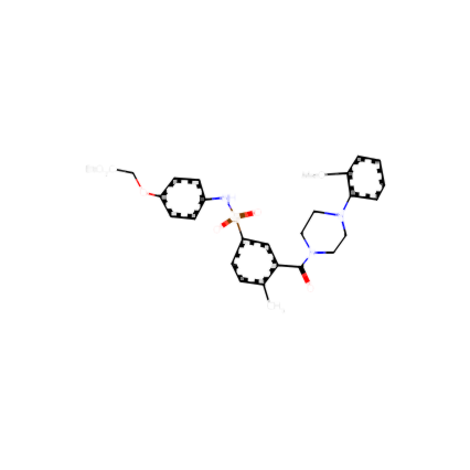 CCOC(=O)COc1ccc(NS(=O)(=O)c2ccc(C)c(C(=O)N3CCN(c4ccccc4OC)CC3)c2)cc1